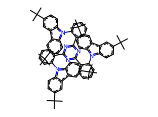 CC(C)(C)c1ccc2c(c1)c1cc(C(C)(C)C)ccc1n2-c1ccccc1-c1nc(-c2ccccc2-n2c3ccc(C(C)(C)C)cc3c3cc(C(C)(C)C)ccc32)nc(-c2ccccc2-n2c3ccc(C(C)(C)C)cc3c3cc(C(C)(C)C)ccc32)n1